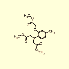 COC(=O)COc1cc(C)ccc1N(CC(=O)OC)CC(=O)OC